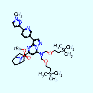 Cn1ccc(-c2ccc(-c3cnn4c(N(COCC[Si](C)(C)C)COCC[Si](C)(C)C)cc(C5CC6CCC(C5)N6C(=O)OC(C)(C)C)nc34)cn2)n1